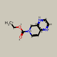 CCOC(=O)N1C=Cc2nccnc2C1